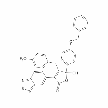 O=C1OC(O)(c2ccc(OCc3ccccc3)cc2)C(Cc2ccc(C(F)(F)F)cc2)=C1c1ccc2nsnc2c1